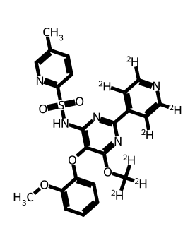 [2H]c1nc([2H])c([2H])c(-c2nc(NS(=O)(=O)c3ccc(C)cn3)c(Oc3ccccc3OC)c(OC([2H])([2H])[2H])n2)c1[2H]